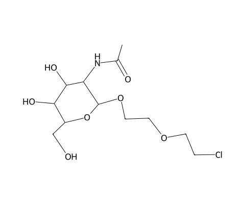 CC(=O)NC1C(OCCOCCCl)OC(CO)C(O)C1O